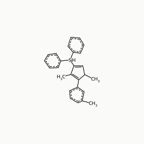 CC1=C(c2cccc(C)c2)C(C)C=C1[SiH](c1ccccc1)c1ccccc1